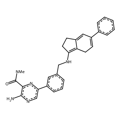 CNC(=O)c1nc(-c2cccc(CNC3=C4CC=C(c5ccccc5)C=C4CC3)c2)cnc1N